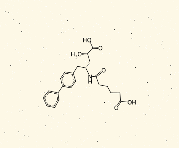 C[C@H](C[C@@H](Cc1ccc(-c2ccccc2)cc1)NC(=O)CCCCC(=O)O)C(=O)O